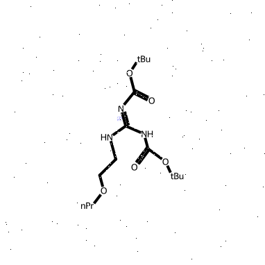 CCCOCCN/C(=N/C(=O)OC(C)(C)C)NC(=O)OC(C)(C)C